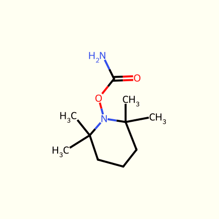 CC1(C)CCCC(C)(C)N1OC(N)=O